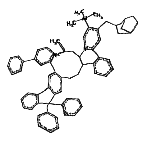 C=C1CC2C(CCc3cc4c(cc3-c3cc(-c5ccccc5)cc[n+]31)-c1ccccc1C4(c1ccccc1)c1ccccc1)c1ccccc1-c1cc(CC3CC4CCC3C4)c([Si](C)(C)C)c[n+]12